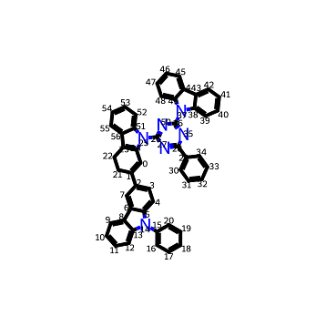 C1=C(c2ccc3c(c2)c2ccccc2n3-c2ccccc2)CCc2c1n(-c1nc(-c3ccccc3)nc(-n3c4ccccc4c4ccccc43)n1)c1ccccc21